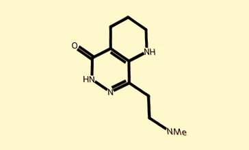 CNCCc1n[nH]c(=O)c2c1NCCC2